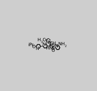 CC(C)Oc1ccc(-c2ccc(C(=O)NS(=O)(=O)c3cccc(N)n3)c(N3[C@H](C)CC[C@@H]3C)n2)cn1